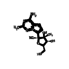 Cc1nc(N)c2ccc([C@]3(C#N)O[C@H](CO)[C@@H](O)[C@@]3(C)O)n2n1